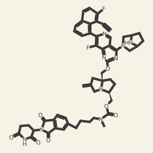 C#Cc1c(F)ccc2cccc(-c3ncc4c(N5CC6CCC(C5)N6)nc(OC[C@@]56CC[C@@H](COC(=O)N(C)CCCCc7ccc8c(c7)C(=O)N(C7CCC(=O)NC7=O)C8=O)N5CC(=C)C6)nc4c3F)c12